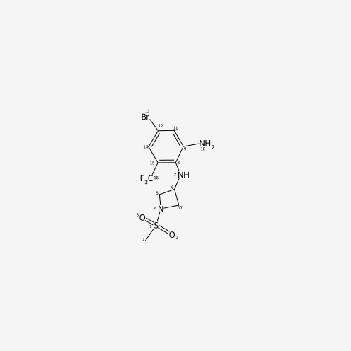 CS(=O)(=O)N1CC(Nc2c(N)cc(Br)cc2C(F)(F)F)C1